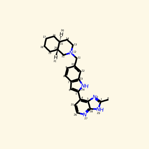 Cc1nc2c(-c3cc4ccc(CN5CC[C@@H]6CCCC[C@H]6C5)cc4[nH]3)ccnc2[nH]1